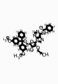 C#CCO[C@H]1C(n2cnc3c(NC(=O)c4ccccc4)ncnc32)O[C@H](COC(c2ccccc2)(c2ccc(OC)cc2)c2ccc(OC)cc2)[C@H]1O